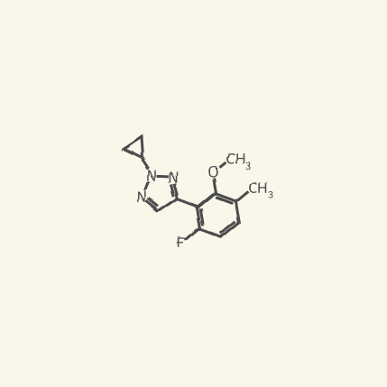 COc1c(C)ccc(F)c1-c1cnn(C2CC2)n1